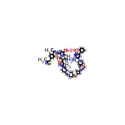 Cc1ncsc1-c1ccc([C@H](C)NC(=O)[C@@H]2C[C@@H](O)CN2C(=O)C(c2cc(N3CCC(CN4CCC(OC5CC(N6CCOC7(CCN(c8cc(-c9ccccc9O)nnc8N)CC7)C6)C5)CC4)CC3)no2)C(C)C)cc1